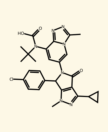 Cc1nnc2c(N(C(=O)O)C(C)(C)C)cc(N3C(=O)c4c(C5CC5)nn(C)c4C3c3ccc(Cl)cc3)cn12